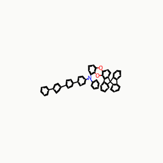 c1ccc(-c2ccc(-c3ccc(-c4ccc(N(c5ccccc5)c5cccc6c5Oc5c(ccc7c5-c5ccccc5C75c7ccccc7-c7ccccc75)O6)cc4)cc3)cc2)cc1